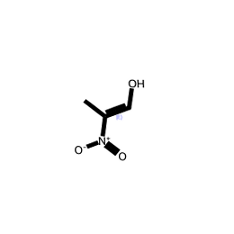 C/C(=C\O)[N+](=O)[O-]